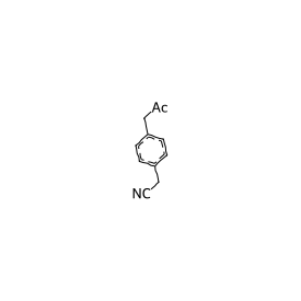 CC(=O)Cc1ccc(CC#N)cc1